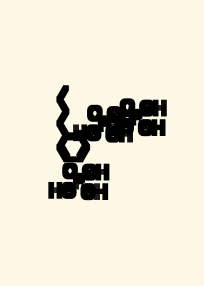 CCCCc1ccccc1.O=P(O)(O)O.O=P(O)(O)O.O=P(O)(O)O